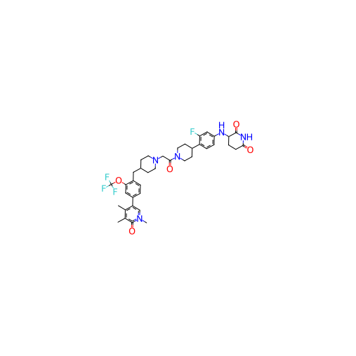 Cc1c(-c2ccc(CC3CCN(CC(=O)N4CCC(c5ccc(NC6CCC(=O)NC6=O)cc5F)CC4)CC3)c(OC(F)(F)F)c2)cn(C)c(=O)c1C